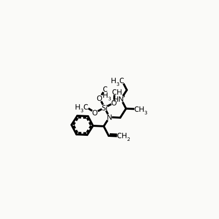 C=CC(c1ccccc1)N(CC(C)NCC)[Si](OC)(OC)OC